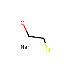 [Na+].[O-]CCS